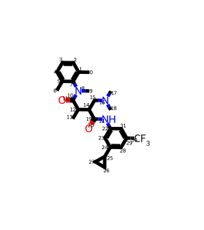 Cc1cccc(C)c1N(C)C(=O)C(C)C(CN(C)C)C(=O)Nc1cc(C2CC2)cc(C(F)(F)F)c1